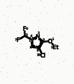 CCOc1nn(C(F)F)cc1Cl